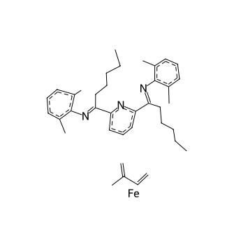 C=CC(=C)C.CCCCCC(=Nc1c(C)cccc1C)c1cccc(C(CCCCC)=Nc2c(C)cccc2C)n1.[Fe]